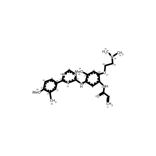 C=CC(=O)Nc1cc(Nc2ncnc(-c3ccc(OC)c(C)c3)n2)c(OC)cc1OCCN(C)C